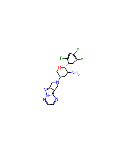 NC1CC(N2Cc3nn4nccnc4c3C2)CO[C@@H]1C1CC(F)=C(F)C=C1F